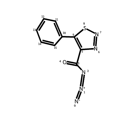 [N-]=[N+]=NC(=O)c1nnsc1-c1ccccc1